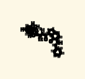 CC[C@H](NC(=O)[C@@H]1CCc2ncc(NCc3ccccc3)c(=O)n21)B1O[C@@H]2C[C@@H]3C[C@@H](C3(C)C)[C@]2(C)O1